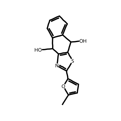 Cc1ccc(-c2nc3c(s2)C(O)c2ccccc2C3O)o1